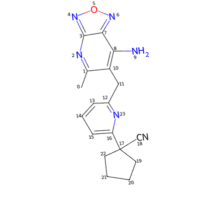 Cc1nc2nonc2c(N)c1Cc1cccc(C2(C#N)CCCC2)n1